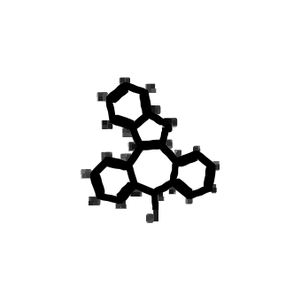 IC1c2ccccc2-c2sc3ccccc3c2-c2ccccc21